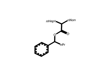 CCCCCCCCCC(CCCCCCC)C(=O)OC(CCC)c1ccccc1